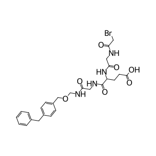 O=C(O)CCC(NC(=O)CNC(=O)CBr)C(=O)NCC(=O)NCOCc1ccc(Cc2ccccc2)cc1